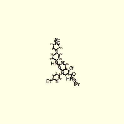 CCc1ccc(-n2cc(C(=O)NOC(C)C)c(=O)c3cnc(Nc4ccc(C5CCN(C(C)=O)CC5)cc4)nc32)cc1